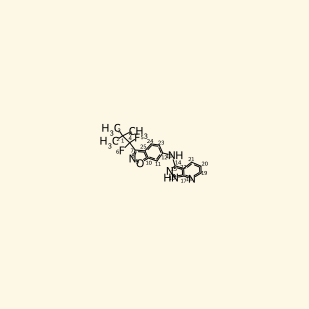 CC(C)(C)C(F)(F)c1noc2cc(Nc3n[nH]c4ncccc34)ccc12